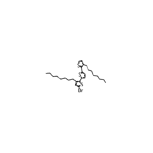 CCCCCCCCc1ccsc1-c1ccc(-c2sc(Br)cc2CCCCCCCC)s1